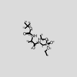 CCOP(=O)(CNC(=O)C(C)NC(=O)OC(C)(C)C)OCC